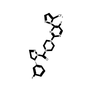 O=C(N1CCN(c2ncc(F)c(-n3nccc3C(F)(F)F)n2)CC1)N1N=CC[C@H]1c1cccc(F)c1